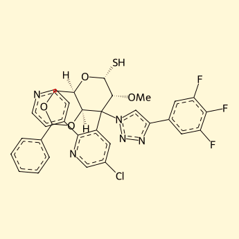 CO[C@H]1[C@@H](S)O[C@@H]2COC(c3ccccc3)O[C@@H]2C1(c1cc(Cl)cnc1-c1ccncc1)n1cc(-c2cc(F)c(F)c(F)c2)nn1